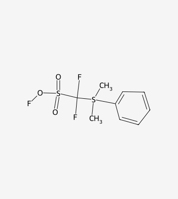 CS(C)(c1ccccc1)C(F)(F)S(=O)(=O)OF